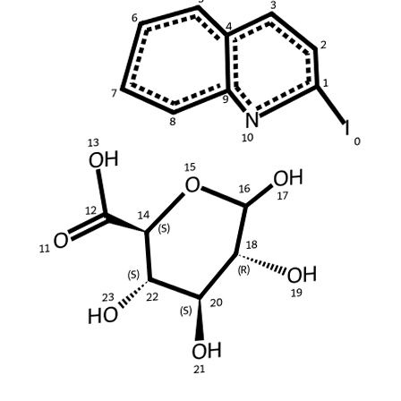 Ic1ccc2ccccc2n1.O=C(O)[C@H]1OC(O)[C@H](O)[C@@H](O)[C@@H]1O